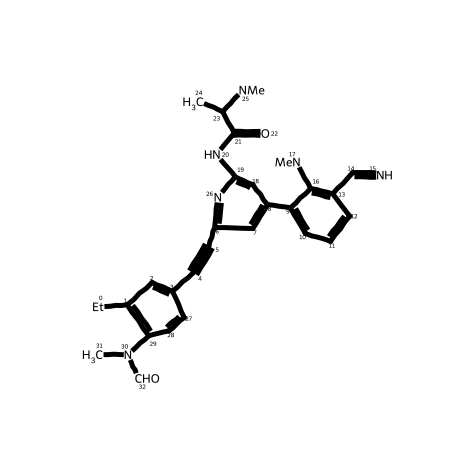 CCc1cc(C#Cc2cc(-c3cccc(C=N)c3NC)cc(NC(=O)C(C)NC)n2)ccc1N(C)C=O